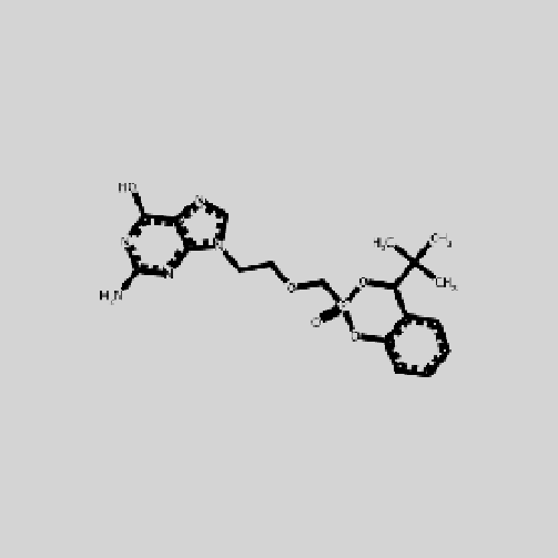 CC(C)(C)C1OP(=O)(COCCn2cnc3c(O)nc(N)nc32)Oc2ccccc21